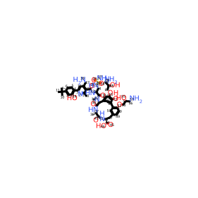 Cc1nc(-c2ccc(C(C)(C)C)cc2O)cc(CN)c1C(=O)NC(CNS(N)(=O)=O)C(=O)N(C)[C@@H]1C(=O)N[C@@H](C)C(=O)N[C@H](C(=O)O)Cc2ccc(OCC(O)CN)c(c2)-c2cc1cc(OCC(O)CN)c2O